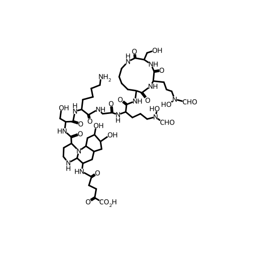 NCCCCC(NC(=O)C(CO)NC(=O)C1CCNC2C(NC(=O)CCC(=O)C(=O)O)CC3CC(O)C(O)CC3N12)C(=O)NCC(=O)NC(CCCN(O)C=O)C(=O)NC1CCCCNC(=O)C(CO)NC(=O)C(CCCN(O)C=O)NC1=O